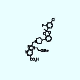 COCCn1c(CN2CCC(c3cccc4c3OC(C)(c3ccc(Cl)cc3F)O4)CC2)nc2ncc(C(=O)O)cc21